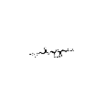 O=C(O)CCC(=O)O/C(=C/SC(=O)CCC(=O)O)C(=O)O